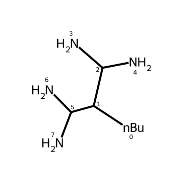 CCCCC(C(N)N)C(N)N